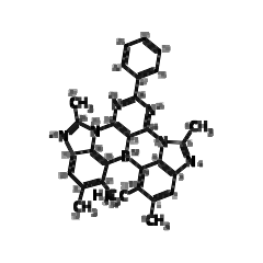 Cc1cc2nc(C)n3c2c(c1C)B1c2c-3nc(-c3ccccc3)nc2-n2c(C)nc3cc(C)c(C)c1c32